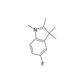 CC1=[N+](C)c2ccc(F)cc2C1(C)C